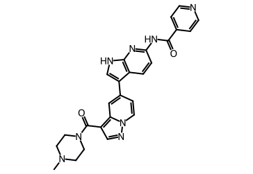 CN1CCN(C(=O)c2cnn3ccc(-c4c[nH]c5nc(NC(=O)c6ccncc6)ccc45)cc23)CC1